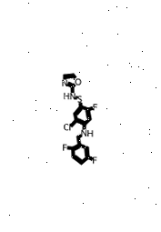 Fc1ccc(F)c(CNc2cc(F)c(SNc3ncco3)cc2Cl)c1